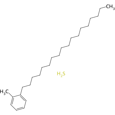 CCCCCCCCCCCCCCCCCCc1ccccc1C.S